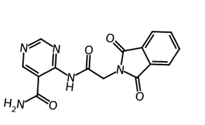 NC(=O)c1cncnc1NC(=O)CN1C(=O)c2ccccc2C1=O